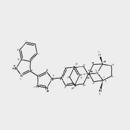 c1ccc2c(-c3cn(-c4ccc([C@H]5C[C@H]6CC[C@@H](C5)N6C5CCCCC5)cc4)nn3)n[nH]c2c1